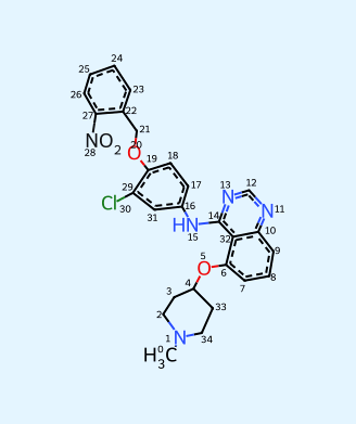 CN1CCC(Oc2cccc3ncnc(Nc4ccc(OCc5ccccc5[N+](=O)[O-])c(Cl)c4)c23)CC1